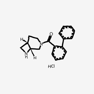 Cl.O=C(c1ccccc1-c1ccccc1)N1CC[C@H]2CN[C@H]2C1